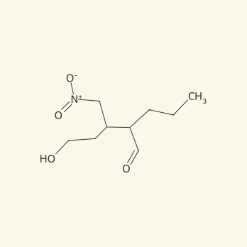 CCCC(C=O)C(CCO)C[N+](=O)[O-]